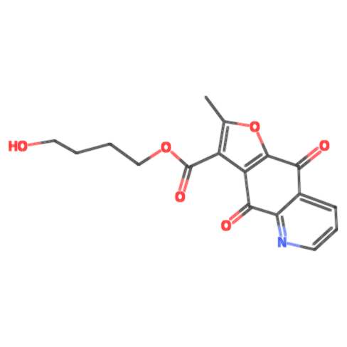 Cc1oc2c(c1C(=O)OCCCCO)C(=O)c1ncccc1C2=O